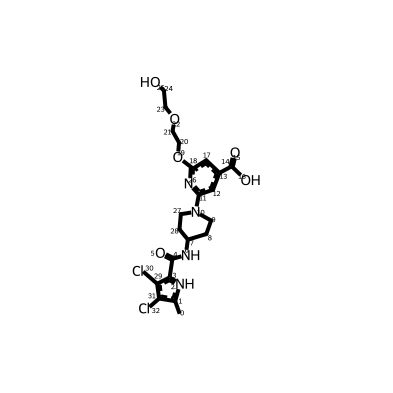 Cc1[nH]c(C(=O)NC2CCN(c3cc(C(=O)O)cc(OCCOCCO)n3)CC2)c(Cl)c1Cl